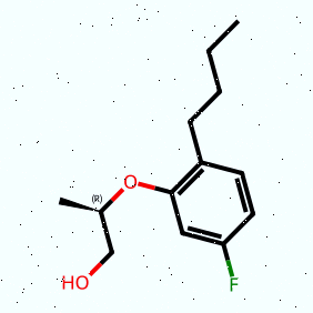 CCCCc1ccc(F)cc1O[C@H](C)CO